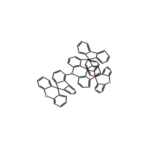 c1ccc2c(c1)Oc1ccccc1C21c2ccccc2-c2c(N(c3cccc4c3-c3ccccc3C43c4ccccc4Sc4ccccc43)c3cccc4c3-c3ccccc3C43c4ccccc4-c4ccccc43)cccc21